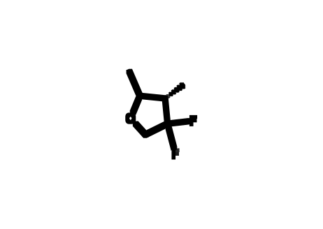 CC1OCC(F)(F)[C@H]1C